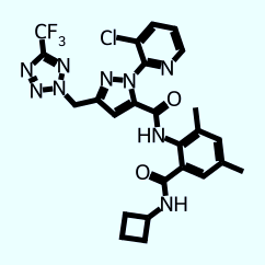 Cc1cc(C)c(NC(=O)c2cc(Cn3nnc(C(F)(F)F)n3)nn2-c2ncccc2Cl)c(C(=O)NC2CCC2)c1